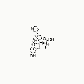 C[C@]12CC[C@H](O)CC1=CC[C@@H]1[C@@H]2CC[C@]2(C)C(c3cccnc3)=CC[C@@H]12.O=C(O)C(F)(F)F